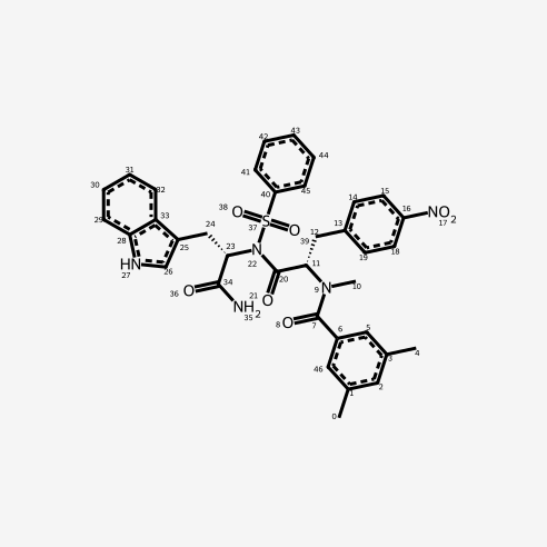 Cc1cc(C)cc(C(=O)N(C)[C@@H](Cc2ccc([N+](=O)[O-])cc2)C(=O)N([C@@H](Cc2c[nH]c3ccccc23)C(N)=O)S(=O)(=O)c2ccccc2)c1